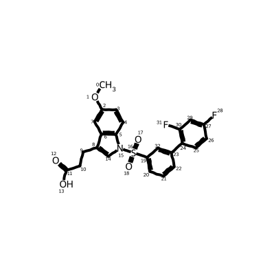 COc1ccc2c(c1)c(CCC(=O)O)cn2S(=O)(=O)c1cccc(-c2ccc(F)cc2F)c1